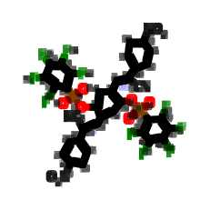 N#C/C(=C\c1cc(OS(=O)(=O)c2c(F)c(F)c(F)c(F)c2F)c(/C=C(\C#N)c2ccc([N+](=O)[O-])cc2)cc1OS(=O)(=O)c1c(F)c(F)c(F)c(F)c1F)c1ccc([N+](=O)[O-])cc1